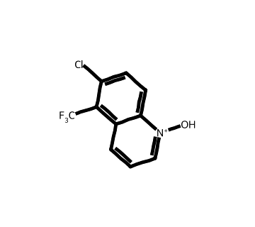 O[n+]1cccc2c(C(F)(F)F)c(Cl)ccc21